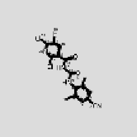 Cc1cc(C#N)cc(C)c1NC(=O)NC(=O)c1cc(F)c(Cl)nc1Cl